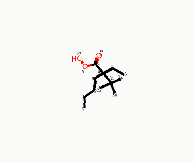 CCCCC(CC)(C(=O)OO)C(C)(C)C